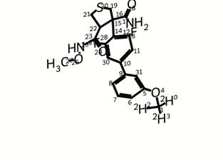 [2H]C([2H])([2H])Oc1cccc(-c2cc(F)c(C3(C(N)=O)CSCC3C(=O)NOC)c(F)c2)c1